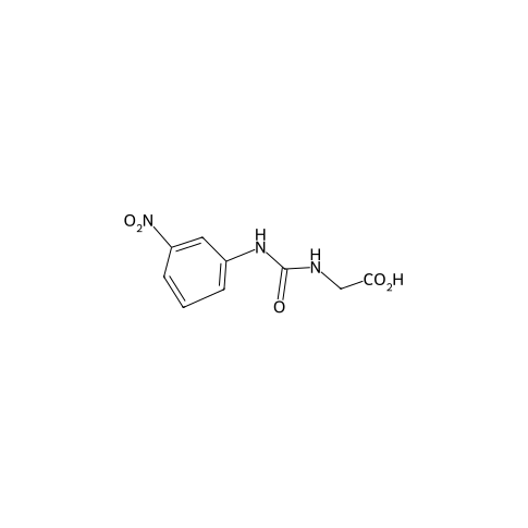 O=C(O)CNC(=O)Nc1cccc([N+](=O)[O-])c1